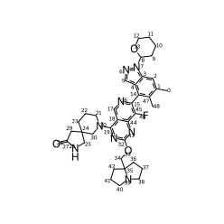 Cc1cc2c(cnn2C2CCCCO2)c(-c2ncc3c(N4CCCC5(CNC(=O)C5)C4)nc(OCC45CCCN4CCC5)nc3c2F)c1C